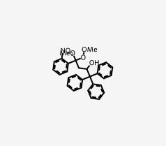 COOC(CC(O)C(c1ccccc1)(c1ccccc1)c1ccccc1)(OC)c1ccccc1[N+](=O)[O-]